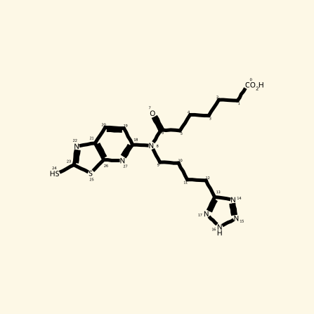 O=C(O)CCCCCC(=O)N(CCCCc1nn[nH]n1)c1ccc2nc(S)sc2n1